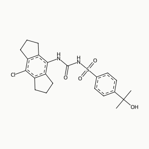 CC(C)(O)c1ccc(S(=O)(=O)NC(=O)Nc2c3c(c(Cl)c4c2CCC4)CCC3)cc1